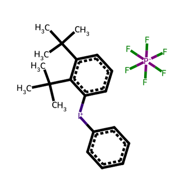 CC(C)(C)c1cccc([I+]c2ccccc2)c1C(C)(C)C.F[P-](F)(F)(F)(F)F